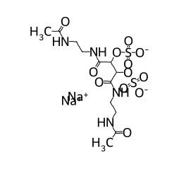 CC(=O)NCCNC(=O)C(OS(=O)(=O)[O-])C(OS(=O)(=O)[O-])C(=O)NCCNC(C)=O.[Na+].[Na+]